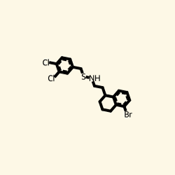 Clc1ccc(CSNCCC2CCCc3c(Br)cccc32)cc1Cl